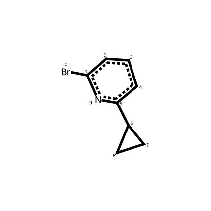 Brc1cccc(C2CC2)n1